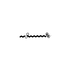 CCCCOC(=O)CCCCCCCCCCC[N+](=O)[O-]